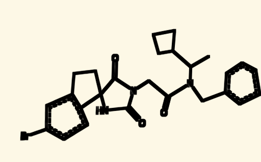 CC(C1CCC1)N(Cc1ccccc1)C(=O)CN1C(=O)NC2(CCc3cc(Br)ccc32)C1=O